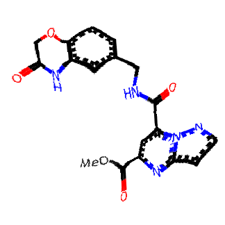 COC(=O)c1cc(C(=O)NCc2ccc3c(c2)NC(=O)CO3)n2nccc2n1